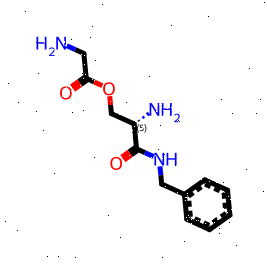 NCC(=O)OC[C@H](N)C(=O)NCc1ccccc1